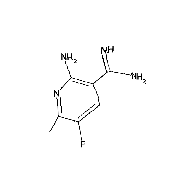 Cc1nc(N)c(C(=N)N)cc1F